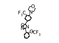 FC(F)(F)Oc1ccccc1-c1noc(-c2ccc(N3CCOCC3)c(C(F)(F)F)c2)n1